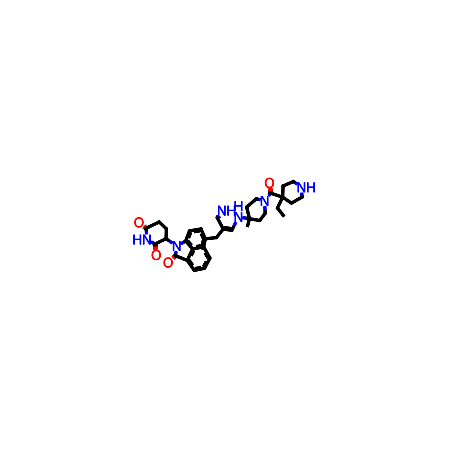 CCC1(C(=O)N2CCC(C)(N/C=C(\C=N)Cc3ccc4c5c(cccc35)C(=O)N4C3CCC(=O)NC3=O)CC2)CCNCC1